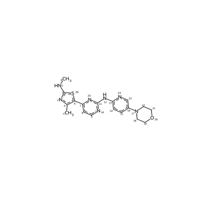 CNc1nc(C)c(-c2ccnc(Nc3ccc(N4CCOCC4)cn3)n2)s1